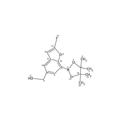 CC1(C)OB(c2cc(CO)cc3cc(F)oc23)OC1(C)C